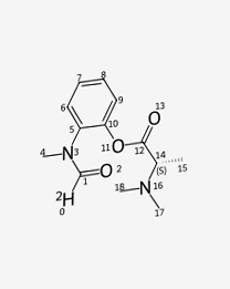 [2H]C(=O)N(C)c1ccccc1OC(=O)[C@H](C)N(C)C